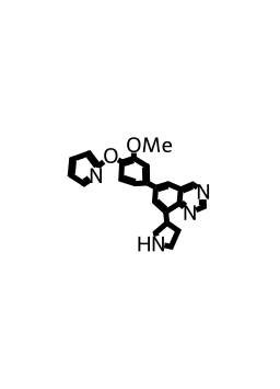 COc1cc(-c2cc(C3CCNC3)c3ncncc3c2)ccc1Oc1ccccn1